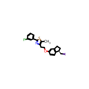 Cc1sc(-c2cccc(F)c2)nc1CCOc1ccc2c(c1)CC[C@H]2CI